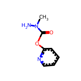 CN(N)C(=O)Oc1ccccn1